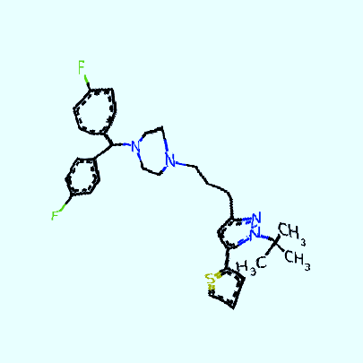 CC(C)(C)n1nc(CCCN2CCN(C(c3ccc(F)cc3)c3ccc(F)cc3)CC2)cc1-c1cccs1